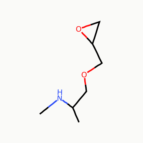 CNC(C)COCC1CO1